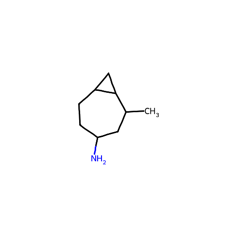 CC1CC(N)CCC2CC12